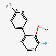 CCOc1c(F)cccc1-c1ccc(C(F)(F)F)cc1